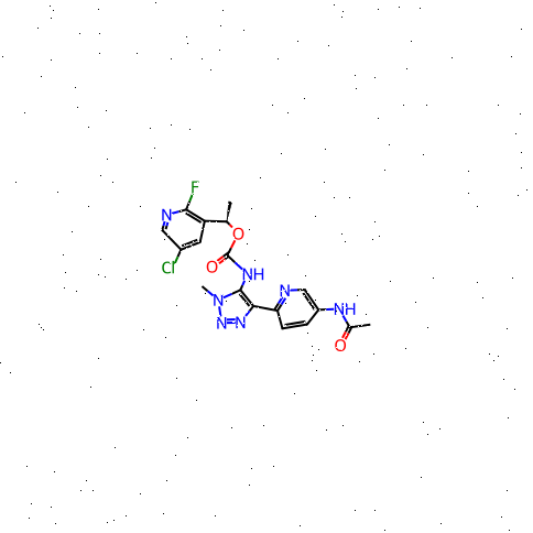 CC(=O)Nc1ccc(-c2nnn(C)c2NC(=O)O[C@H](C)c2cc(Cl)cnc2F)nc1